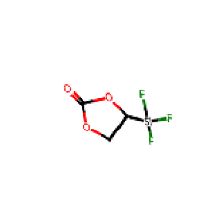 O=C1OCC([Si](F)(F)F)O1